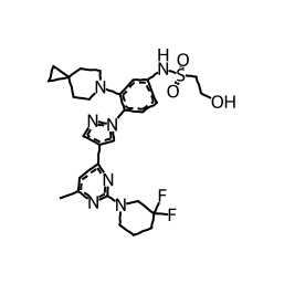 Cc1cc(-c2cnn(-c3ccc(NS(=O)(=O)CCO)cc3N3CCC4(CC3)CC4)c2)nc(N2CCCC(F)(F)C2)n1